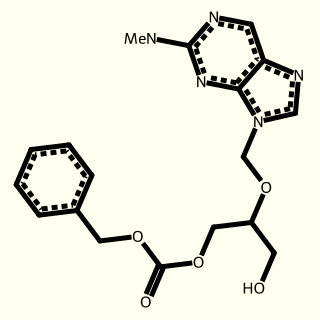 CNc1ncc2ncn(COC(CO)COC(=O)OCc3ccccc3)c2n1